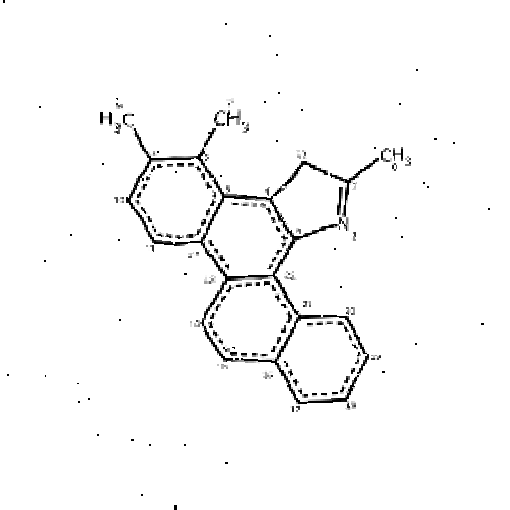 CC1=Nc2c(c3c(C)c(C)ccc3c3ccc4ccccc4c23)C1